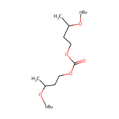 CCCCOC(C)CCOC(=O)OCCC(C)OCCCC